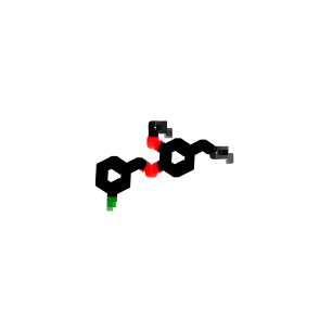 CCc1ccc(OCc2cccc(F)c2)c(OC)c1